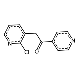 O=C(Cc1cccnc1Cl)c1ccncc1